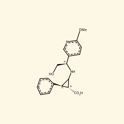 COc1ccc([C@H](CO)NC2[C@H](C(=O)O)[C@H]2c2ccccc2)cn1